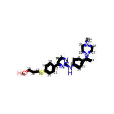 C=C(c1ccc(Nc2nccc(-c3ccc(SCCCO)cc3)n2)cc1)N1CCN(C(C)=O)CC1